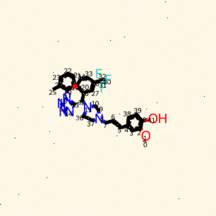 COc1cc(/C=C/CN2CCN([C@H](c3nnnn3-c3c(C)cccc3C)C3C=C(C(F)(F)F)C=CC3)CC2)ccc1O